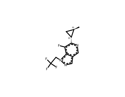 C[C@@H]1C[C@H]1c1ncc2cnn(CC(F)(F)F)c2c1F